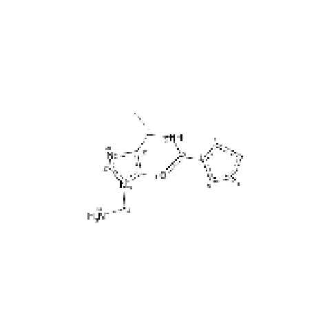 C[C@H](NC(=O)c1ccsc1)c1cn(CN)cn1